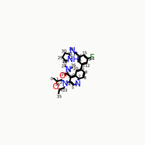 CC1CN(c2cnc3ccc(-c4cc(F)cc(C#N)c4)cc3c2C(=O)N(C)C[C@@H]2CCCN2)CC(C)O1